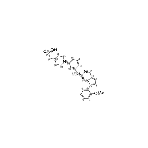 COc1ccccc1-c1ccc2cnc(Nc3cccc(N4CCN(C[C@@H](C)O)CC4)c3)nn12